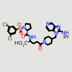 CC(C)Nc1nc2cnccc2n1CC1CCN(C(=O)CC[C@H](NC(=O)[C@@H]2CCCN2S(=O)(=O)c2cc(Cl)cc(Cl)c2)C(=O)O)CC1